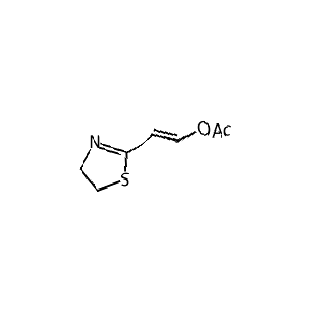 CC(=O)OC=CC1=NCCS1